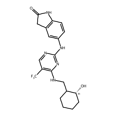 O=C1Cc2cc(Nc3ncc(C(F)(F)F)c(NCC4CCCC[C@H]4O)n3)ccc2N1